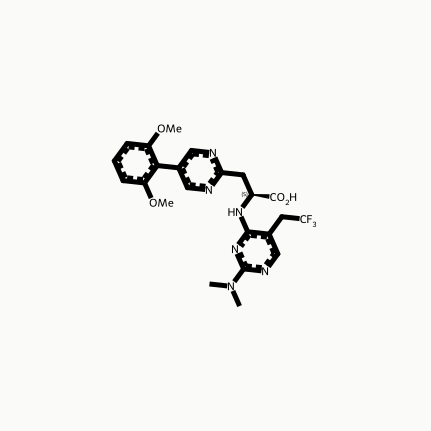 COc1cccc(OC)c1-c1cnc(C[C@H](Nc2nc(N(C)C)ncc2CC(F)(F)F)C(=O)O)nc1